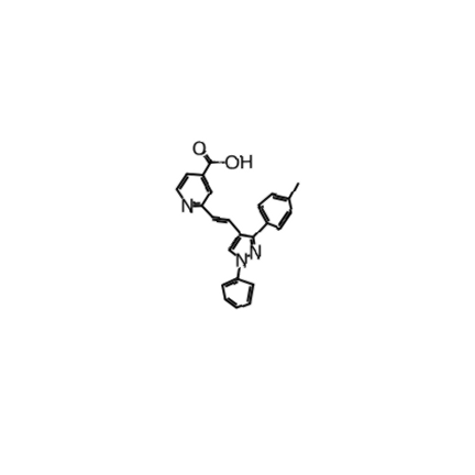 Cc1ccc(-c2nn(-c3ccccc3)cc2/C=C/c2cc(C(=O)O)ccn2)cc1